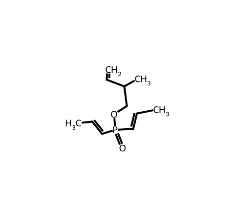 C=CC(C)COP(=O)(/C=C/C)/C=C/C